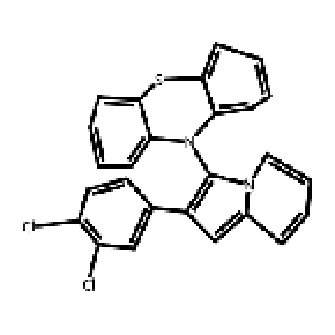 Clc1ccc(-c2cc3ccccn3c2N2c3ccccc3Sc3ccccc32)cc1Cl